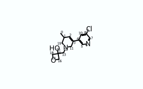 CC1C=C(c2cncc(Cl)c2)CN(CC2(O)COC2)C1